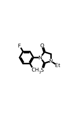 CCN1CC(=O)N(c2cc(F)ccc2C)C1=S